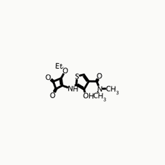 CCOc1c(Nc2scc(C(=O)N(C)C)c2O)c(=O)c1=O